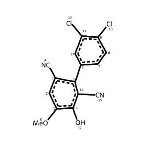 COc1cc(C#N)c(-c2ccc(Cl)c(Cl)c2)c(C#N)c1O